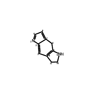 C1=NC2=CC3=C(CC2=C1)NCC3